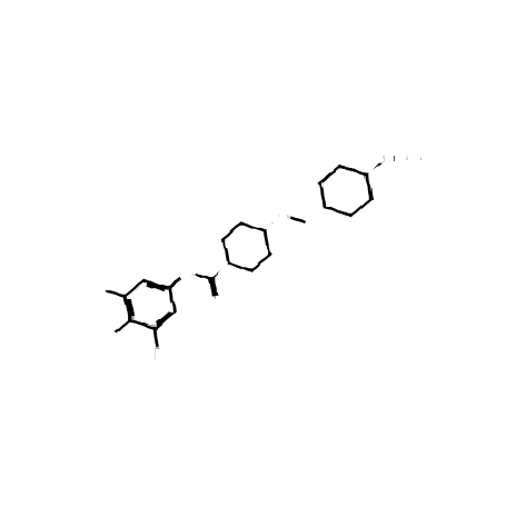 CCCCCC[C@H]1CC[C@H](CO[C@H]2CC[C@H](C(=O)Oc3cc(F)c(F)c(F)c3)CC2)CC1